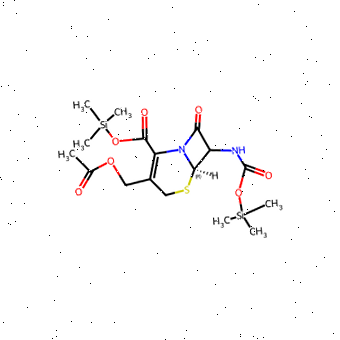 CC(=O)OCC1=C(C(=O)O[Si](C)(C)C)N2C(=O)C(NC(=O)O[Si](C)(C)C)[C@H]2SC1